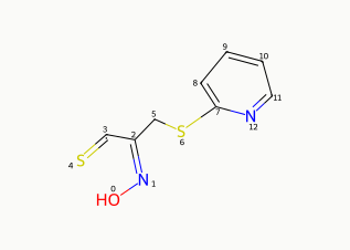 ON=C([C]=S)CSc1ccccn1